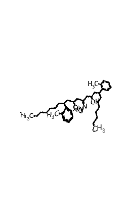 CCCCCCCC(CC(O)CC(CC(O)CC(CCCCCCC)c1ccccc1C)=NO)c1ccccc1C